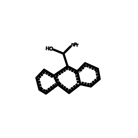 CCCC(O)c1c2ccccc2cc2ccccc12